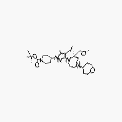 COC[C@@]1(C)CN(C2CCOCC2)CCN1c1nn(C2CCN(C(=O)OC(C)(C)C)CC2)c(C)c1I